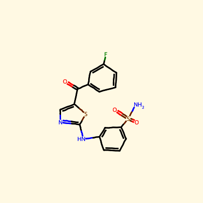 NS(=O)(=O)c1cccc(Nc2ncc(C(=O)c3cccc(F)c3)s2)c1